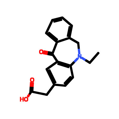 CCN1Cc2ccccc2C(=O)c2cc(CC(=O)O)ccc21